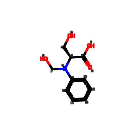 O=C(O)[C@H](CO)N(CO)c1ccccc1